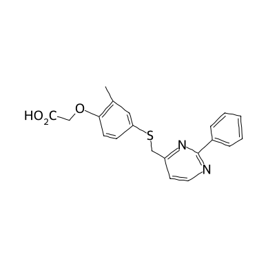 Cc1cc(SCc2ccnc(-c3ccccc3)n2)ccc1OCC(=O)O